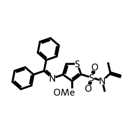 C=C(C)N(C)S(=O)(=O)c1scc(N=C(c2ccccc2)c2ccccc2)c1OC